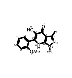 CCn1nc(C)c2c(=O)c(O)c(-c3ccccc3OC)[nH]c21